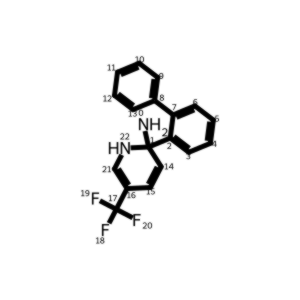 NC1(c2ccccc2-c2ccccc2)C=CC(C(F)(F)F)=CN1